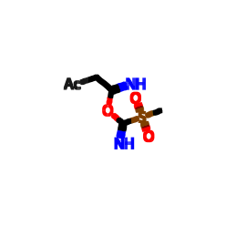 CC(=O)CC(=N)OC(=N)S(C)(=O)=O